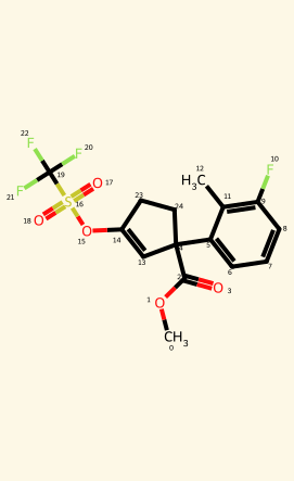 COC(=O)C1(c2cccc(F)c2C)C=C(OS(=O)(=O)C(F)(F)F)CC1